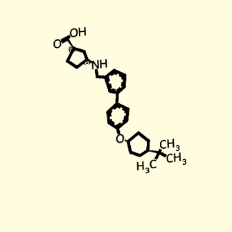 CC(C)(C)[C@H]1CC[C@H](Oc2ccc(-c3cccc(CN[C@H]4CC[C@@H](C(=O)O)C4)c3)cc2)CC1